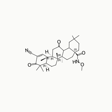 CONC(=O)[C@]12CCC(C)(C)CC1C1C(=O)C[C@@H]3[C@@]4(C)C=C(C#N)C(=O)C(C)(C)[C@@H]4CC[C@@]3(C)[C@]1(C)CC2